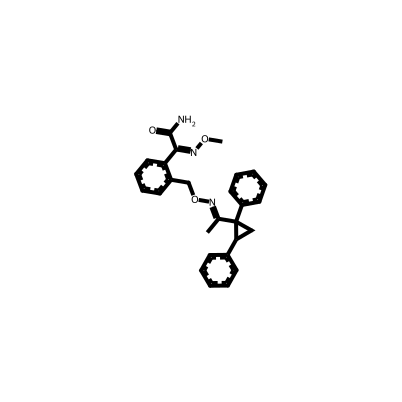 CON=C(C(N)=O)c1ccccc1CON=C(C)C1(c2ccccc2)CC1c1ccccc1